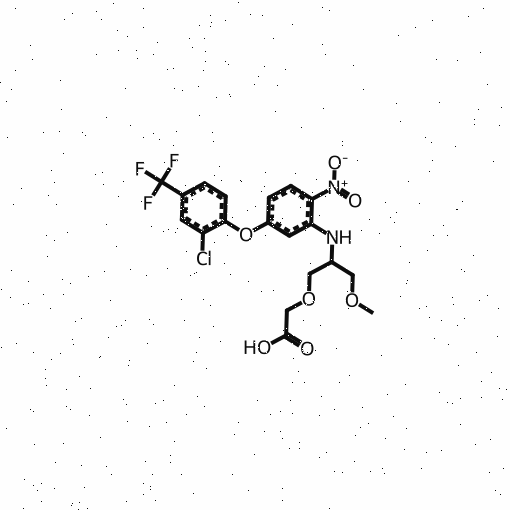 COCC(COCC(=O)O)Nc1cc(Oc2ccc(C(F)(F)F)cc2Cl)ccc1[N+](=O)[O-]